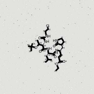 CCOC(=O)/C=C/[C@H](C[C@@H]1CCNC1=O)NC(=O)[C@H](CC(C)C)NC(=O)[C@@H](NC(=O)NCCCl)C(C)OC(C)(C)C